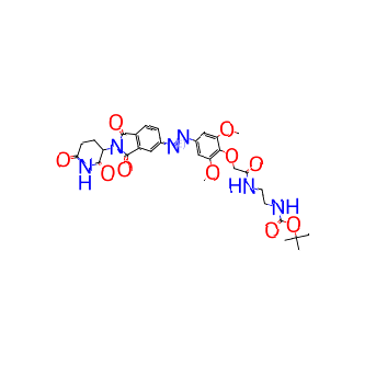 COc1cc(/N=N/c2ccc3c(c2)C(=O)N(C2CCC(=O)NC2=O)C3=O)cc(OC)c1OCC(=O)NCCNC(=O)OC(C)(C)C